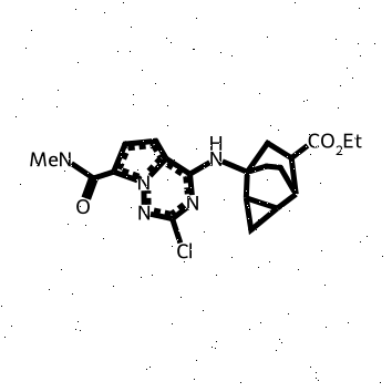 CCOC(=O)C1CC2(Nc3nc(Cl)nn4c(C(=O)NC)ccc34)CCC1C1CC12